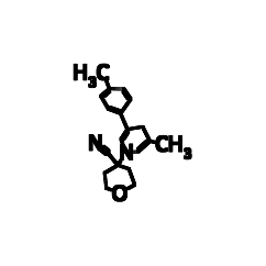 CC1=CN(C2(C#N)CCOCC2)C=C(c2ccc(C)cc2)C1